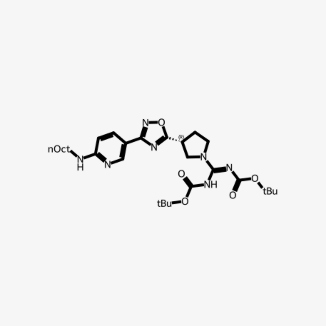 CCCCCCCCNc1ccc(-c2noc([C@@H]3CCN(C(=NC(=O)OC(C)(C)C)NC(=O)OC(C)(C)C)C3)n2)cn1